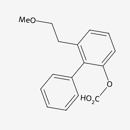 COCCc1cccc(OC(=O)O)c1-c1ccccc1